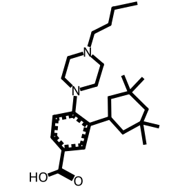 CCCCN1CCN(c2ccc(C(=O)O)cc2C2CC(C)(C)CC(C)(C)C2)CC1